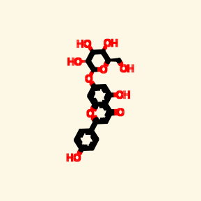 O=c1cc(-c2ccc(O)cc2)oc2cc(O[C@@H]3O[C@H](CO)[C@H](O)[C@H](O)[C@H]3O)cc(O)c12